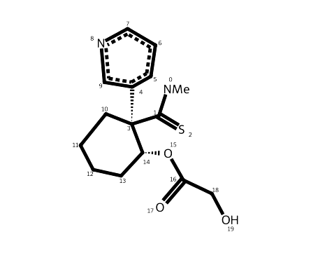 CNC(=S)[C@]1(c2cccnc2)CCCC[C@H]1OC(=O)CO